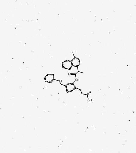 CC(C(=O)Nc1cc(CNc2ccccc2)ccc1CCC(=O)O)c1ccc(F)c2ccccc12